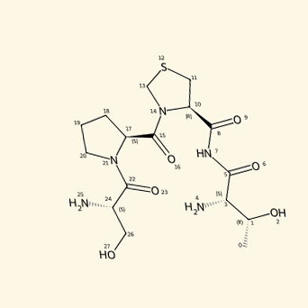 C[C@@H](O)[C@H](N)C(=O)NC(=O)[C@@H]1CSCN1C(=O)[C@@H]1CCCN1C(=O)[C@@H](N)CO